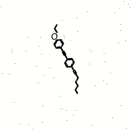 CCCCCC#Cc1ccc(C#Cc2ccc(OCCC)cc2)cc1